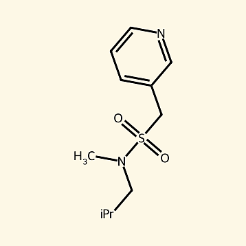 CC(C)CN(C)S(=O)(=O)Cc1cccnc1